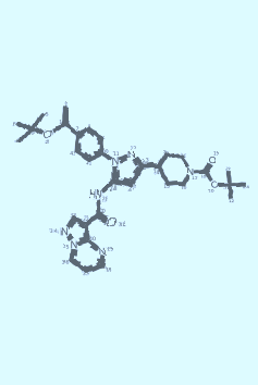 C=C(OC(C)(C)C)c1ccc(-n2nc(C3CCN(C(=O)OC(C)(C)C)CC3)cc2NC(=O)c2cnn3cccnc23)cc1